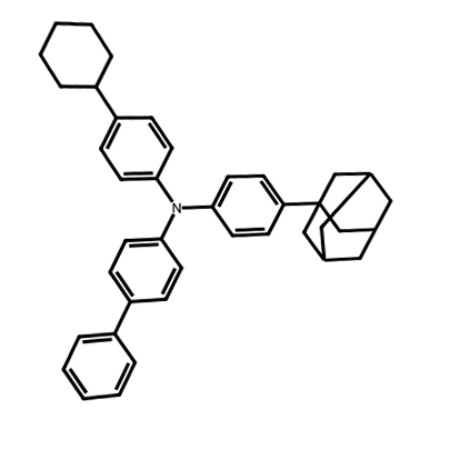 c1ccc(-c2ccc(N(c3ccc(C4CCCCC4)cc3)c3ccc(C45CC6CC(CC(C6)C4)C5)cc3)cc2)cc1